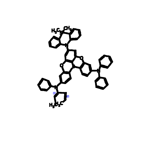 C/C=C\C(=C/C)N(c1ccccc1)c1ccc2c(c1)Oc1cc(N3c4ccccc4[Si](C)(C)c4ccccc43)cc3c1B2c1ccc(N(c2ccccc2)c2ccccc2)cc1O3